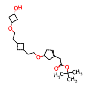 CC(C)(C)OC(=O)CC1=CCC(OCCC2CC(CCO[C@H]3C[C@@H](O)C3)C2)C1